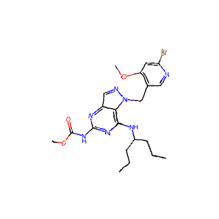 CCCC(CCC)Nc1nc(NC(=O)OC)nc2cnn(Cc3cnc(Br)cc3OC)c12